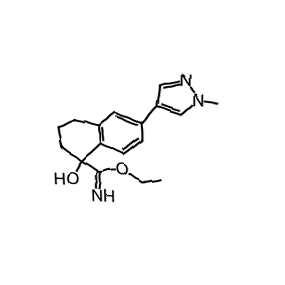 CCOC(=N)C1(O)CCCc2cc(-c3cnn(C)c3)ccc21